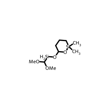 COC(OC)[SiH2]OC1CCC[Si](C)(C)O1